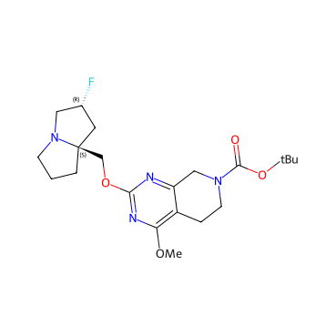 COc1nc(OC[C@@]23CCCN2C[C@H](F)C3)nc2c1CCN(C(=O)OC(C)(C)C)C2